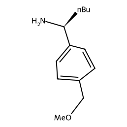 CCCC[C@H](N)c1ccc(COC)cc1